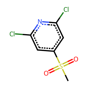 CS(=O)(=O)c1cc(Cl)nc(Cl)c1